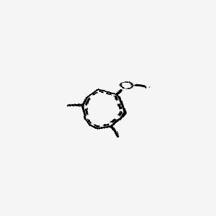 [CH2]Oc1cc(C)cc(C)c1